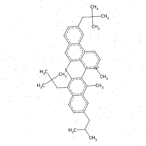 Cc1c2c(c(CC(C)(C)C)c3ccc(CC(C)C)cc13)Sc1cc3ccc(CC(C)(C)C)cc3c3cc[n+](C)c-2c13